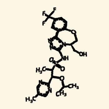 Cc1cnc(C(OC(C)C)C(C)S(=O)(=O)Nc2nnc3n2[C@H](CO)COc2ccc(C(F)(F)F)cc2-3)nc1